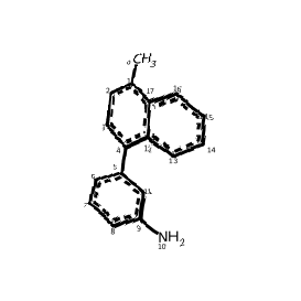 Cc1ccc(-c2cccc(N)c2)c2ccccc12